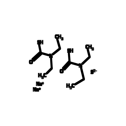 CCN(CC)C(=O)S.CCN(CC)C(=O)S.[Na+].[Na+].[S-2]